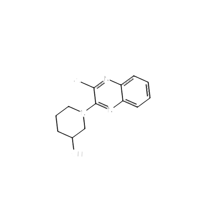 OC1CCCN(c2nc3ccccc3nc2Cl)C1